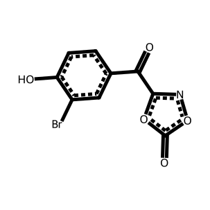 O=C(c1ccc(O)c(Br)c1)c1noc(=O)o1